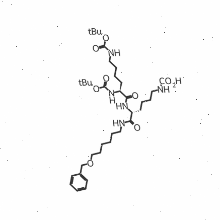 CC(C)(C)OC(=O)NCCCC[C@H](NC(=O)OC(C)(C)C)C(=O)N[C@H](CCCCNC(=O)O)C(=O)NCCCCCCOCc1ccccc1